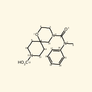 CN(C(=O)N1CCOC2(CCN(C(=O)O)CC2)C1)c1ccccc1